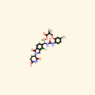 C=C(COc1cc(C(F)(F)F)ccc1NC(=O)NCc1ccc2c(c1F)CN(C1CCC(=O)NC1=O)C2=O)C(=O)OC(C)(C)C